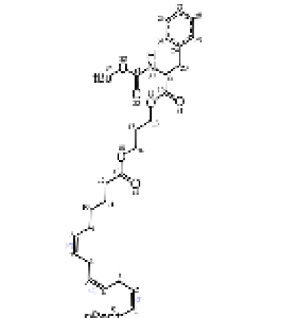 CCCCC/C=C\C/C=C\C/C=C\CCCCC(=O)OCCCOC(=O)C(Cc1ccccc1)NC(=O)OC(C)(C)C